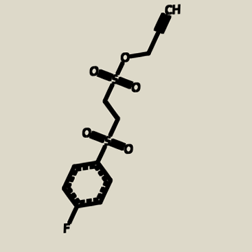 C#CCOS(=O)(=O)CCS(=O)(=O)c1ccc(F)cc1